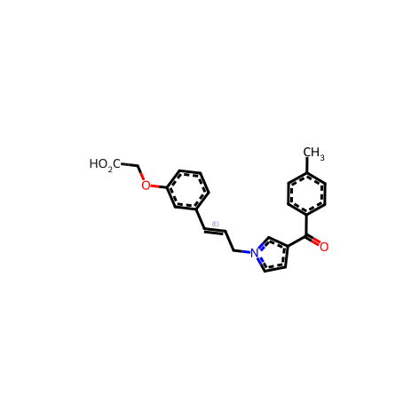 Cc1ccc(C(=O)c2ccn(C/C=C/c3cccc(OCC(=O)O)c3)c2)cc1